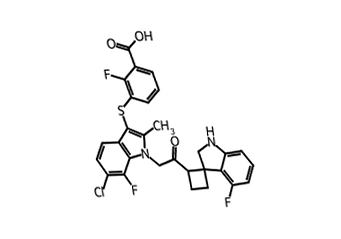 Cc1c(Sc2cccc(C(=O)O)c2F)c2ccc(Cl)c(F)c2n1CC(=O)C1CCC12CNc1cccc(F)c12